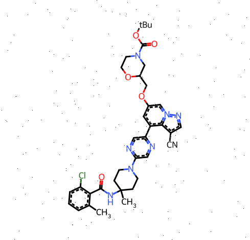 Cc1cccc(Cl)c1C(=O)NC1(C)CCN(c2cnc(-c3cc(OCC4CN(C(=O)OC(C)(C)C)CCO4)cn4ncc(C#N)c34)cn2)CC1